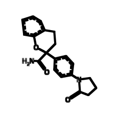 NC(=O)C1(c2ccc(N3CCCC3=O)cc2)CCc2ccccc2O1